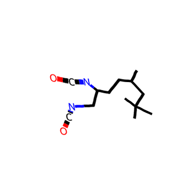 CC(CCC(CN=C=O)N=C=O)CC(C)(C)C